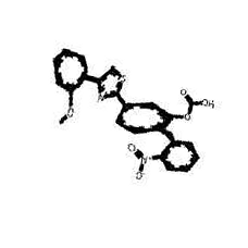 COc1ccccc1-c1csc(-c2ccc(-c3ccccc3[N+](=O)[O-])c(OC(=O)O)c2)n1